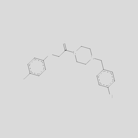 O=C(COc1ccc(I)cc1)N1CCN(Cc2ccc(Cl)cc2)CC1